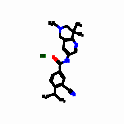 CC(C)c1ccc(C(=O)Nc2cnc3c(c2)CN(C)CC3(C)C)cc1C#N.Cl